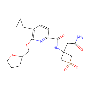 NC(=O)CC1(NC(=O)c2ccc(C3CC3)c(OCC3CCCO3)n2)CS(=O)(=O)C1